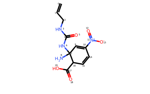 C=CCNC(=O)NC1(N)C=C([N+](=O)[O-])C=CC1C(=O)O